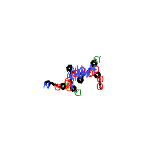 COCCOc1ccc(S(=O)(=O)N(CC(=O)NN=C2C(=O)Nc3ccccc32)c2ccc(Cl)cc2)cc1.O=C(CN(c1ccc(Cl)cc1)S(=O)(=O)c1ccc(OCCCc2cccnc2)cc1)NN=C1C(=O)Nc2ccccc21